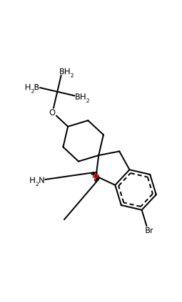 BC(B)(B)OC1CCC2(CC1)Cc1ccc(Br)cc1C21N=C(C)C(N)=N1